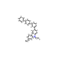 Cn1c2ccc(-c3cccc(-c4ccc(-c5ccccc5)cc4)c3)cc2c2ccc(C#N)cc21